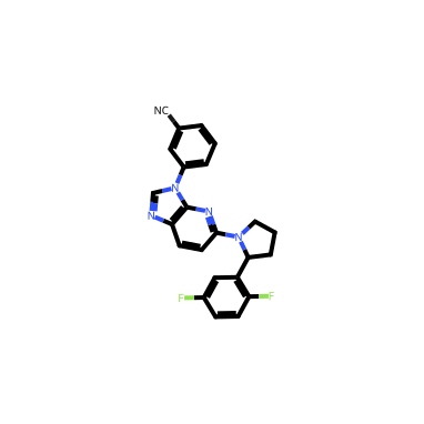 N#Cc1cccc(-n2cnc3ccc(N4CCCC4c4cc(F)ccc4F)nc32)c1